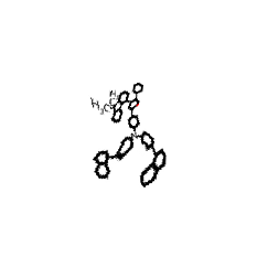 CC1(C)c2ccccc2-c2c(-c3cc(-c4ccc(N(c5ccc(-c6cccc7ccccc67)cc5)c5ccc(-c6cccc7ccccc67)cc5)cc4)ccc3-c3ccccc3)cccc21